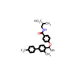 CCC[C@H](Oc1ccc(C(=O)NC[C@@H](C)C(=O)O)cc1)c1ccc(-c2ccc(C(F)(F)F)cc2)cc1C